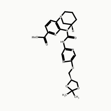 COC(=O)c1ccc2c(n1)N(C(=O)Nc1cnc(OC[C@H]3COC(C)(C)O3)cn1)[C@H]1CCCN2C1